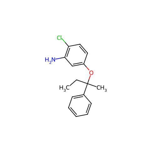 CCC(C)(Oc1ccc(Cl)c(N)c1)c1ccccc1